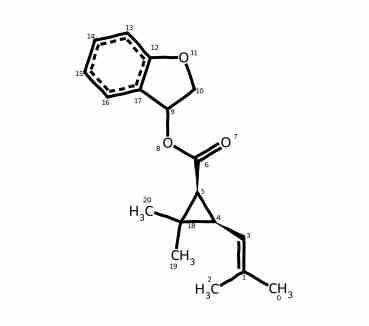 CC(C)=C[C@@H]1[C@H](C(=O)OC2COc3ccccc32)C1(C)C